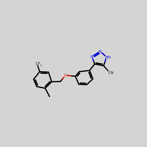 Cc1ccc(C(F)(F)F)cc1COc1cccc(-c2nn[nH]c2C#N)c1